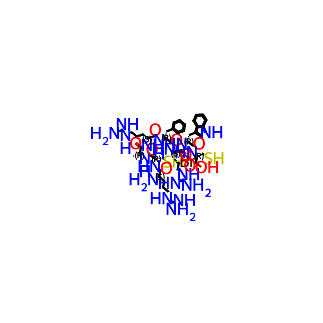 C[C@@H](NC(=O)[C@H](CS)NC(=O)[C@@H](N)CCCNC(=N)N)C(=O)N[C@@H](CCCNC(=N)N)C(=O)N[C@H](Cc1ccccc1)C(=O)N[C@@H](CC(Br)CNC(=N)N)C(=O)N[C@H](Cc1c[nH]c2ccccc12)C(=O)N[C@@H](CS)C(=O)O